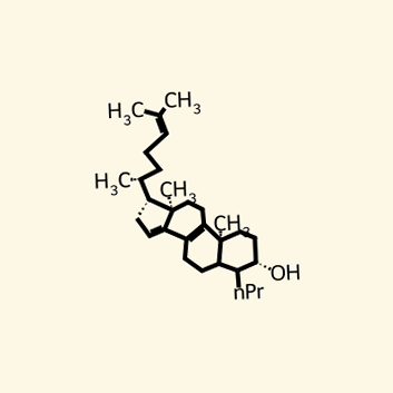 CCCC1C2CCC3=C(CC[C@@]4(C)C3=CC[C@@H]4[C@H](C)CCC=C(C)C)[C@@]2(C)CC[C@@H]1O